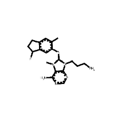 Cc1cc2c(cc1SC1N(C)c3c(N)ncnc3N1CCCP)C(F)CC2